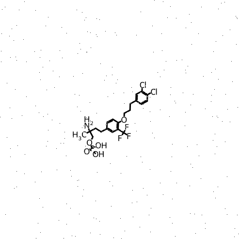 CC(N)(CCc1ccc(OCCCc2ccc(Cl)c(Cl)c2)c(C(F)(F)F)c1)COP(=O)(O)O